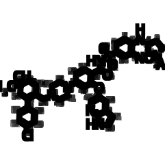 CC(=O)N1CC[C@@H](Nc2ccc(S(=O)(=O)NC(=O)c3ccc(N4CCN(CC5=C(c6ccc(Cl)cc6)CC(C)(C)CC5)CC4)cc3Oc3cnc4[nH]ccc4c3)cc2[N+](=O)[O-])C1